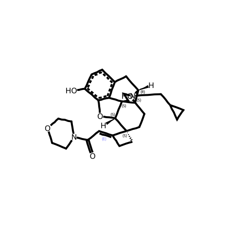 O=C(/C=C1\CC[C@]12CC[C@@]1(O)[C@H]3Cc4ccc(O)c5c4[C@@]1(CCN3CC1CC1)[C@H]2O5)N1CCOCC1